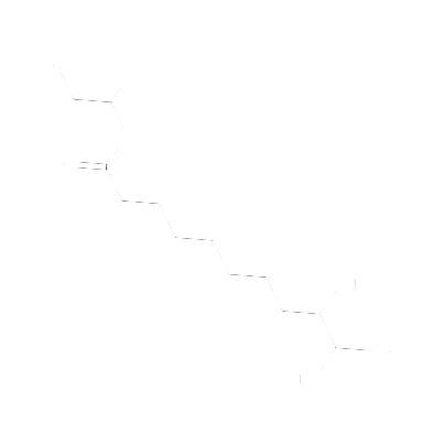 CCCCCCCCC(O)C(O)CCCCCCCC(=O)OC(CC)CO